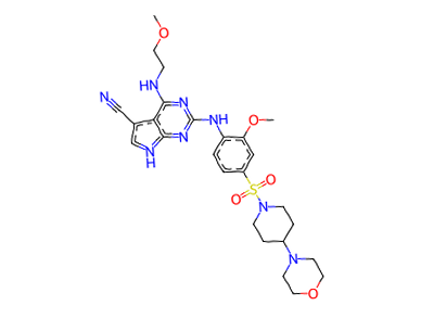 COCCNc1nc(Nc2ccc(S(=O)(=O)N3CCC(N4CCOCC4)CC3)cc2OC)nc2[nH]cc(C#N)c12